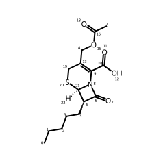 CCCCC[C@@H]1C(=O)N2C(C(=O)O)=C(COC(C)=O)CS[C@H]12